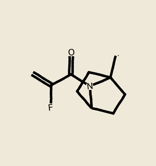 [CH2]C12CCC(CC1)N2C(=O)C(=C)F